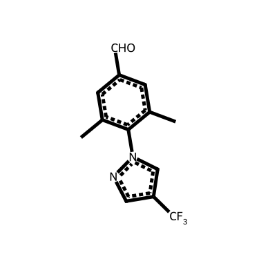 Cc1cc(C=O)cc(C)c1-n1cc(C(F)(F)F)cn1